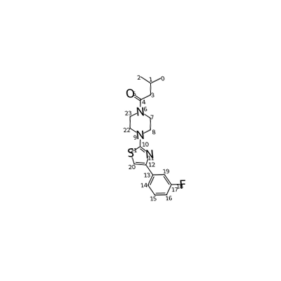 CC(C)CC(=O)N1CCN(c2nc(-c3cccc(F)c3)cs2)CC1